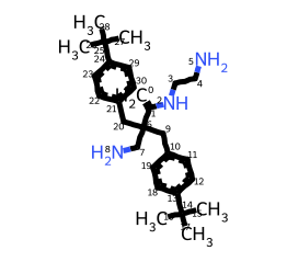 C=C(NCCN)C(CN)(Cc1ccc(C(C)(C)C)cc1)Cc1ccc(C(C)(C)C)cc1